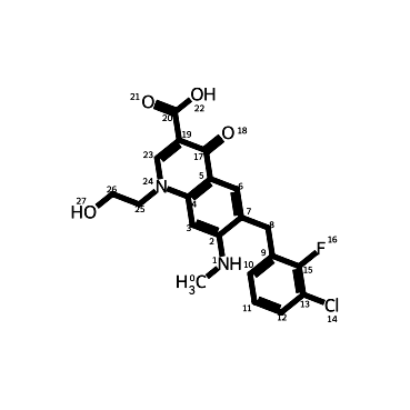 CNc1cc2c(cc1Cc1cccc(Cl)c1F)c(=O)c(C(=O)O)cn2CCO